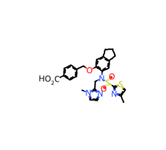 Cc1csc(S(=O)(=O)N(Cc2nccn2C)c2cc3c(cc2OCc2ccc(C(=O)O)cc2)CCC3)n1